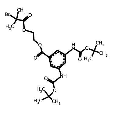 CC(C)(C)OC(=O)Nc1cc(NC(=O)OC(C)(C)C)cc(C(=O)OCCOC(=O)C(C)(C)Br)c1